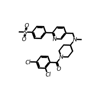 CN(Cc1ccc(-c2ccc(S(C)(=O)=O)cc2)nc1)C1CCN(C(=O)c2ccc(Cl)cc2Cl)CC1